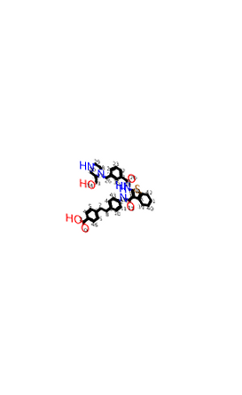 O=C(O)c1ccc(CCc2ccc(NC(=O)c3c(NC(=O)c4cccc(CN5CCNCC5CO)c4)sc4c3CCCC4)cc2)cc1